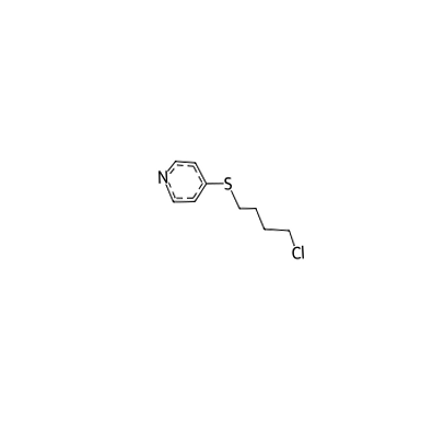 ClCCCCSc1ccncc1